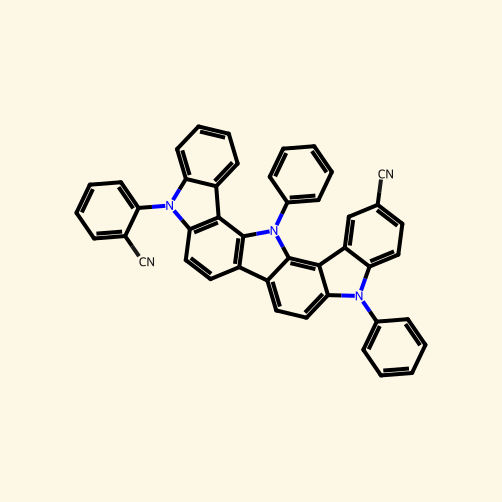 N#Cc1ccc2c(c1)c1c(ccc3c4ccc5c(c6ccccc6n5-c5ccccc5C#N)c4n(-c4ccccc4)c31)n2-c1ccccc1